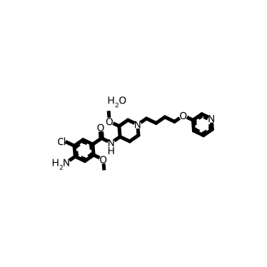 COc1cc(N)c(Cl)cc1C(=O)NC1CCN(CCCCOc2cccnc2)CC1OC.O